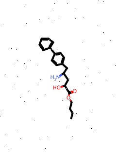 CCCCOC(=O)C(O)CC(N)Cc1ccc(-c2ccccc2)cc1